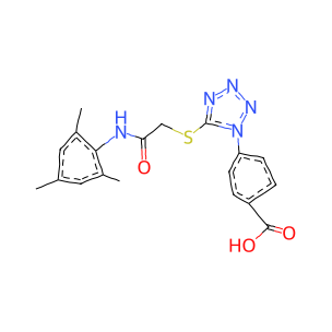 Cc1cc(C)c(NC(=O)CSc2nnnn2-c2ccc(C(=O)O)cc2)c(C)c1